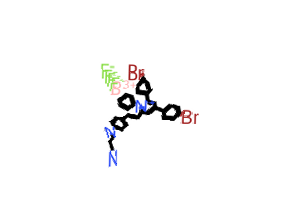 CN(CCC#N)c1ccc(/C=C/c2cc(-c3ccc(Br)cc3)cc(-c3ccc(Br)cc3)[n+]2-c2ccccc2)cc1.[B+3].[F-].[F-].[F-].[F-]